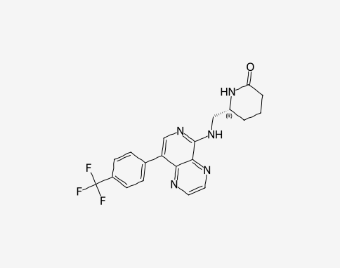 O=C1CCC[C@H](CNc2ncc(-c3ccc(C(F)(F)F)cc3)c3nccnc23)N1